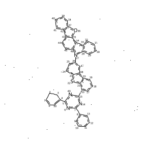 C1=CCCC(c2nc(-c3ccccc3)nc(-c3cccc4c3sc3ccc(-n5c6ccccc6c6c7oc8ccccc8c7ccc65)cc34)n2)=C1